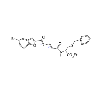 CCOC(=O)C(CSCc1ccccc1)NC(=O)/C=C/C=C(\Cl)c1cc2cc(Br)ccc2o1